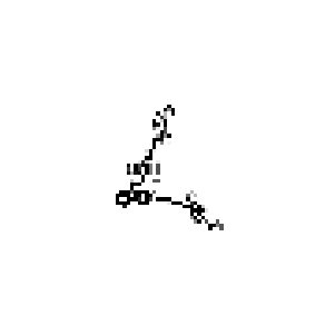 CC(C)N1CCN(C(=O)CCCCCNC(=O)OCC2c3ccccc3-c3ccc(NCCCCCC(=O)N4CCN(C(C)C)CC4)cc32)CC1